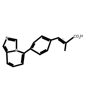 C/C(=C\c1ccc(-c2cccc3cncn23)cc1)C(=O)O